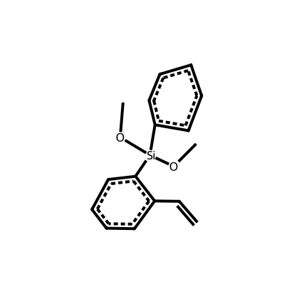 C=Cc1ccccc1[Si](OC)(OC)c1ccccc1